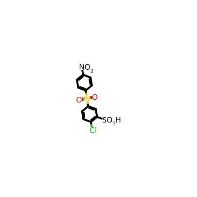 O=[N+]([O-])c1ccc(S(=O)(=O)c2ccc(Cl)c(S(=O)(=O)O)c2)cc1